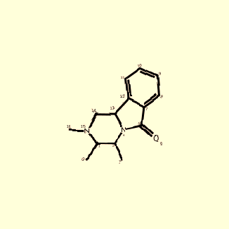 CC1C(C)N2C(=O)c3ccccc3C2CN1C